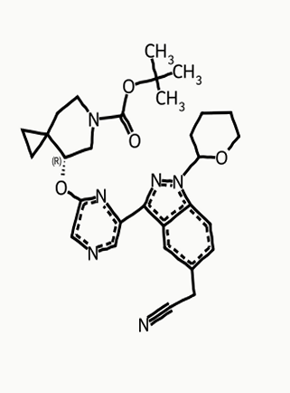 CC(C)(C)OC(=O)N1CCC2(CC2)[C@@H](Oc2cncc(-c3nn(C4CCCCO4)c4ccc(CC#N)cc34)n2)C1